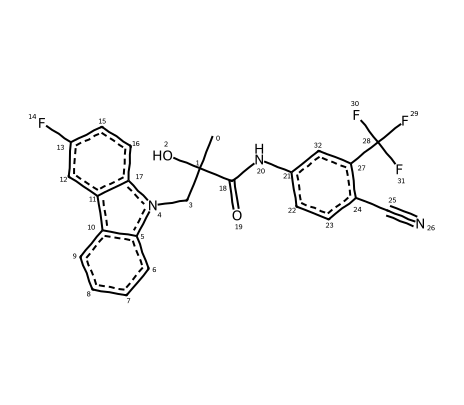 CC(O)(Cn1c2ccccc2c2cc(F)ccc21)C(=O)Nc1ccc(C#N)c(C(F)(F)F)c1